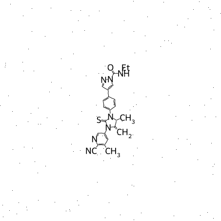 C=C1C(C)N(c2ccc(-c3cnn(C(=O)NCC)c3)cc2)C(=S)N1c1cnc(C#N)c(C)c1